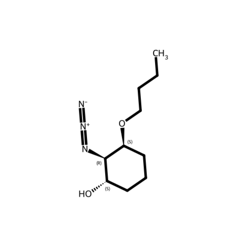 CCCCO[C@H]1CCC[C@H](O)[C@H]1N=[N+]=[N-]